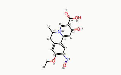 CCOc1cc2c(cc1N=O)-c1cc(=O)c(C(=O)O)cn1C(C)C2